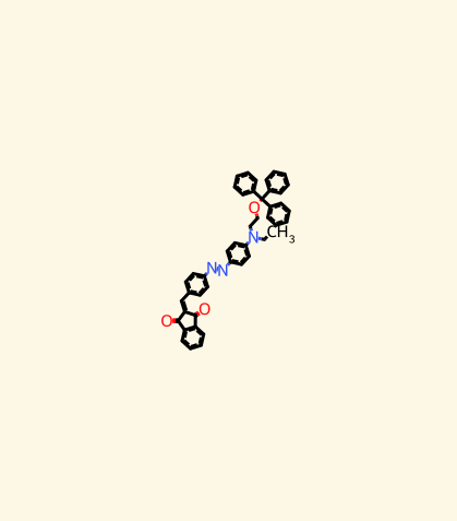 CCN(CCOC(c1ccccc1)(c1ccccc1)c1ccccc1)c1ccc(N=Nc2ccc(C=C3C(=O)c4ccccc4C3=O)cc2)cc1